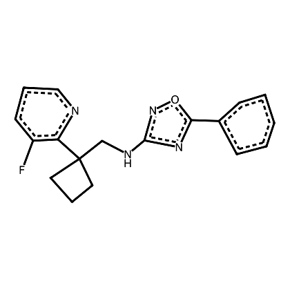 Fc1cccnc1C1(CNc2noc(-c3ccccc3)n2)CCC1